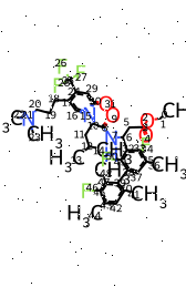 CCOC(=O)CC(NC(=O)C(CC(C)C)n1cc(CCCN(C)C)c(C(F)(F)F)cc1=O)c1c(F)c(C)cc(-c2c(C)cc(C)c(F)c2C)c1F